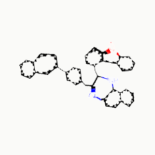 c1ccc2cc(-c3ccc(C4=Nc5ccc6ccccc6c5NC4c4cccc5oc6ccccc6c45)cc3)ccc2c1